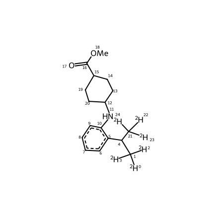 [2H]C([2H])([2H])C(c1ccccc1NC1CCC(C(=O)OC)CC1)C([2H])([2H])[2H]